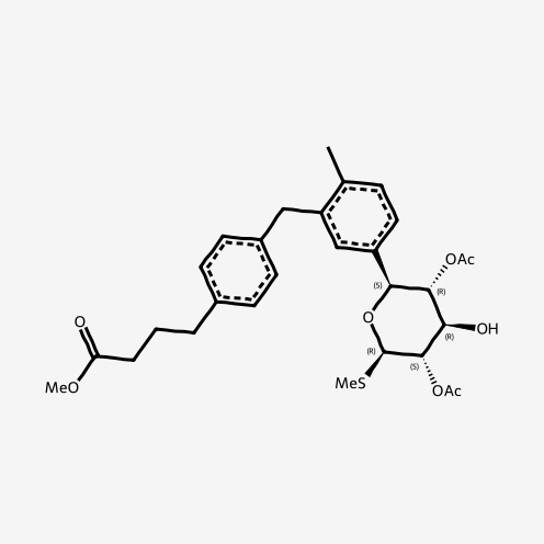 COC(=O)CCCc1ccc(Cc2cc([C@@H]3O[C@H](SC)[C@@H](OC(C)=O)[C@H](O)[C@H]3OC(C)=O)ccc2C)cc1